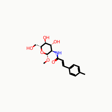 CO[C@@H]1O[C@H](CO)[C@@H](O)[C@H](O)[C@H]1NC(=O)/C=C/c1ccc(C)cc1